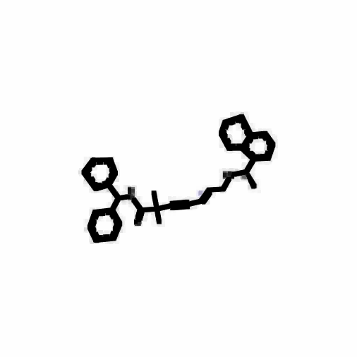 C[C@@H](NC/C=C/C#CC(C)(C)C(=O)NC(c1ccccc1)c1ccccc1)c1cccc2ccccc12